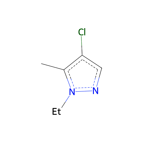 CCn1ncc(Cl)c1C